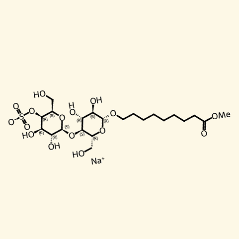 COC(=O)CCCCCCCCO[C@@H]1O[C@H](CO)[C@@H](O[C@@H]2O[C@H](CO)[C@H](OS(=O)(=O)[O-])[C@H](O)[C@H]2O)[C@H](O)[C@H]1O.[Na+]